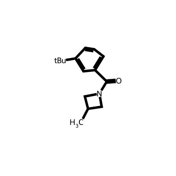 CC1CN(C(=O)c2cccc(C(C)(C)C)c2)C1